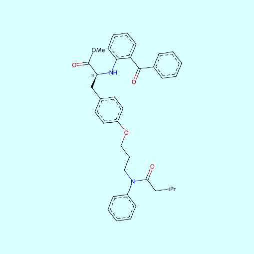 COC(=O)[C@H](Cc1ccc(OCCCN(C(=O)CC(C)C)c2ccccc2)cc1)Nc1ccccc1C(=O)c1ccccc1